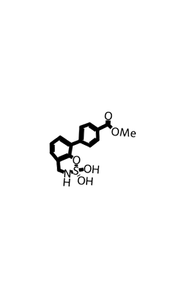 COC(=O)c1ccc(-c2cccc3c2OS(O)(O)NC3)cc1